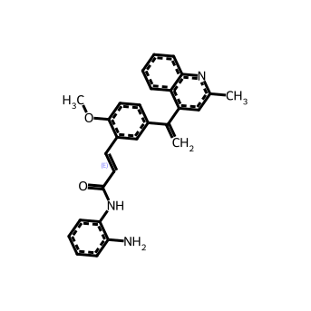 C=C(c1ccc(OC)c(/C=C/C(=O)Nc2ccccc2N)c1)c1cc(C)nc2ccccc12